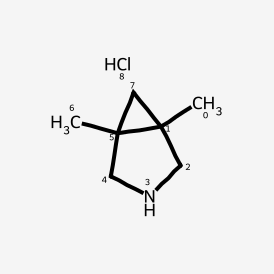 CC12CNCC1(C)C2.Cl